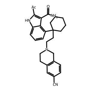 CC(=O)c1[nH]c2cccc(C3(CCN4CCc5cc(C#N)ccc5C4)CCCCC3)c2c1C(N)=O